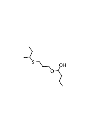 CCCC(O)OCCCSC(C)CC